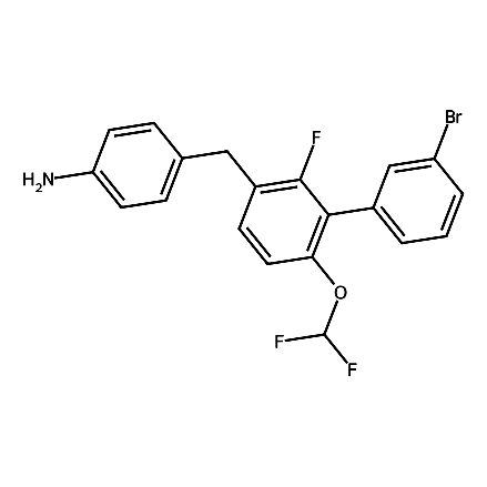 Nc1ccc(Cc2ccc(OC(F)F)c(-c3cccc(Br)c3)c2F)cc1